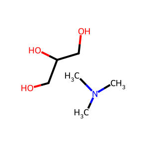 CN(C)C.OCC(O)CO